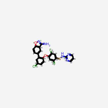 Nc1noc2ccc(-c3cc(Cl)ccc3Oc3cc(F)c(SNc4ncccn4)cc3F)cc12